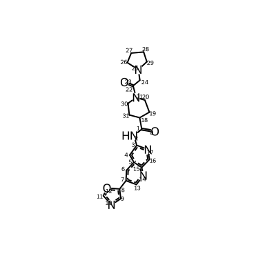 O=C(Nc1cc2cc(-c3cnco3)cnc2cn1)C1CCN(C(=O)CN2CCCC2)CC1